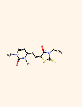 CCN1C(=O)C(=CC=C2C=CN(C)C(=O)N2C)SC1=S